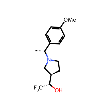 COc1ccc([C@@H](C)N2CC[C@@H]([C@H](O)C(F)(F)F)C2)cc1